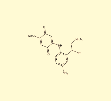 CCC(CNC(C)=O)c1cc(N)ccc1NC1=CC(=O)C(OC)=CC1=O